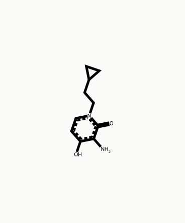 Nc1c(O)ccn(CCC2CC2)c1=O